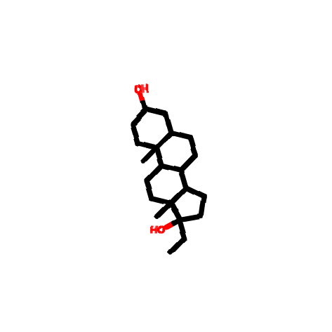 CCC1(O)CCC2C3CCC4CC(O)CCC4(C)C3CCC21C